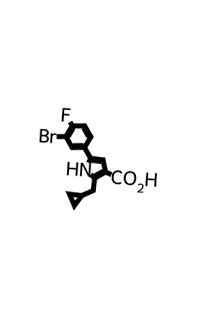 O=C(O)c1cc(-c2ccc(F)c(Br)c2)[nH]c1CC1CC1